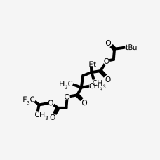 CCC(C)(CC(C)(C)C(=O)OCC(=O)OC(C)C(F)(F)F)C(=O)OCC(=O)C(C)(C)C